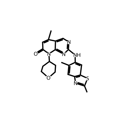 Cc1nc2cc(C)c(Nc3ncc4c(C)cc(=O)n(C5CCOCC5)c4n3)cc2s1